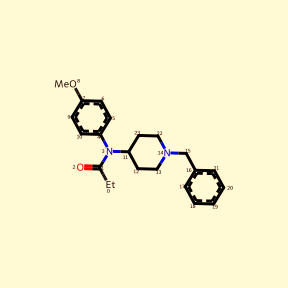 CCC(=O)N(c1ccc(OC)cc1)C1CCN(Cc2ccccc2)CC1